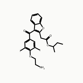 CCC(C)OC(=O)Cc1oc2ccccc2c1C(=O)c1cc(I)c(OCCN)c(I)c1